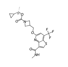 CNC(=O)c1csc2c(C(F)(F)F)cc(OCC3CN(C(=O)O[C@@H](C)C4CC4)C3)nc12